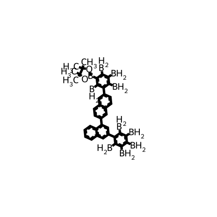 Bc1c(B)c(B)c(-c2cc(-c3ccc4cc(-c5c(B)c(B)c(B)c(B6OC(C)(C)C(C)(C)O6)c5B)ccc4c3)c3ccccc3c2)c(B)c1B